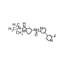 CC(C)N(C)c1nc2ccc(NC(=O)c3cc(-c4ccnc(F)c4)ccn3)cc2[nH]1